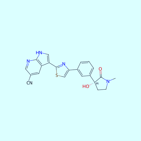 CN1CC[C@@](O)(c2cccc(-c3csc(-c4c[nH]c5ncc(C#N)cc45)n3)c2)C1=O